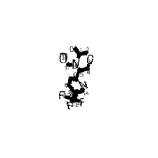 CC1COCC(c2ccc(C(F)(F)F)cn2)N1C=O